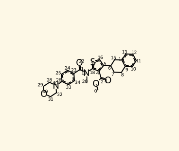 COC(=O)c1c(C2CCc3ccccc3C2)csc1N(I)C(=O)c1ccc(N2CCOCC2)cc1